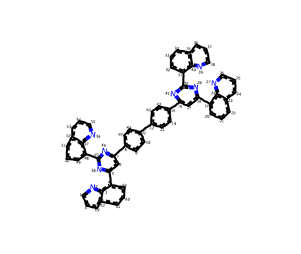 c1cnc2c(-c3cc(-c4ccc(-c5ccc(-c6cc(-c7cccc8cccnc78)nc(-c7cccc8cccnc78)n6)cc5)cc4)nc(-c4cccc5cccnc45)n3)cccc2c1